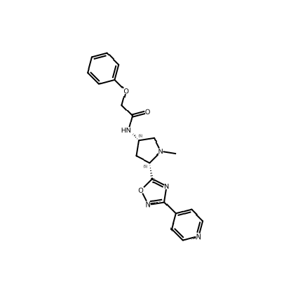 CN1C[C@@H](NC(=O)COc2ccccc2)C[C@H]1c1nc(-c2ccncc2)no1